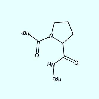 CC(C)(C)NC(=O)C1CCCN1C(=O)C(C)(C)C